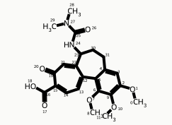 COc1cc2c(c(OC)c1OC)-c1ccc(C(=O)O)c(=O)cc1C(NC(=O)N(C)C)CC2